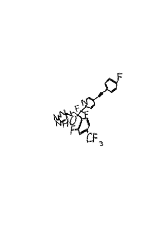 OC(Cn1cnnn1)(c1ccc(C(F)(F)F)cc1F)C(F)(F)c1ccc(C#Cc2ccc(F)cc2)cn1